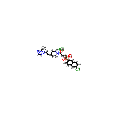 CCc1nccn1CCC1CCN(C(=O)CCS(=O)(=O)c2ccc3cc(Cl)ccc3c2)CC1.Cl